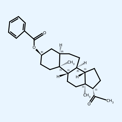 CC(=O)[C@H]1CC[C@H]2[C@@H]3CC[C@@H]4C[C@H](OC(=O)c5ccccc5)CC[C@]4(C)[C@H]3CC[C@]12C